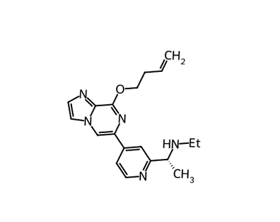 C=CCCOc1nc(-c2ccnc([C@@H](C)NCC)c2)cn2ccnc12